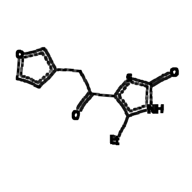 CCc1[nH]c(=O)sc1C(=O)Cc1ccoc1